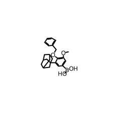 COc1cc(B(O)O)cc(C23CC4CC(CC(C4)C2)C3)c1OCc1ccccc1